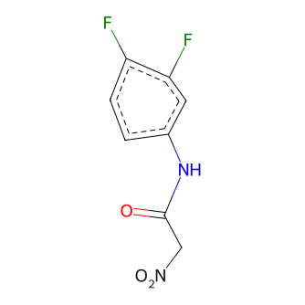 O=C(C[N+](=O)[O-])Nc1ccc(F)c(F)c1